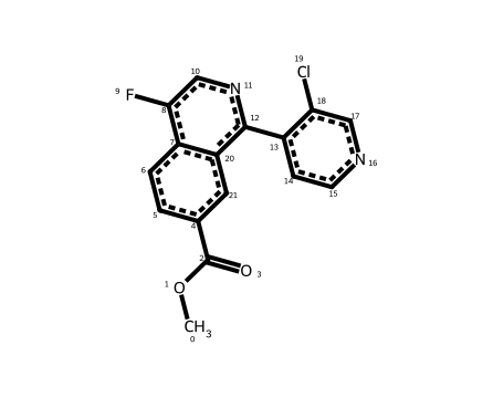 COC(=O)c1ccc2c(F)cnc(-c3ccncc3Cl)c2c1